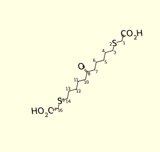 O=C(O)CSCCCCCC(=O)CCCCCSCC(=O)O